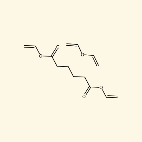 C=COC(=O)CCCCC(=O)OC=C.C=COC=C